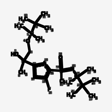 CC(O)(CO[Si](C)(C)C(C)(C)C)c1cc(F)c(S(=O)(Cl)=N[Si](C)(C)C(C)(C)C)s1